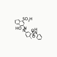 Cc1ccc(N=Nc2cc(S(=O)(=O)O)c3ccccc3c2O)cc1S(=O)(=O)Nc1ccccc1